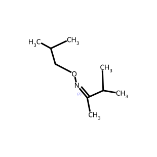 C/C(=N/OCC(C)C)C(C)C